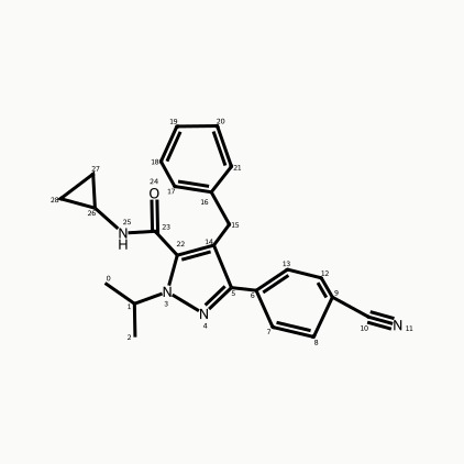 CC(C)n1nc(-c2ccc(C#N)cc2)c(Cc2ccccc2)c1C(=O)NC1CC1